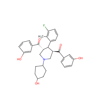 Cc1c(F)cccc1C1[C@@H](C(=O)c2cccc(O)c2)CN(C2CCC(O)CC2)C[C@@H]1C(=O)c1cccc(O)c1